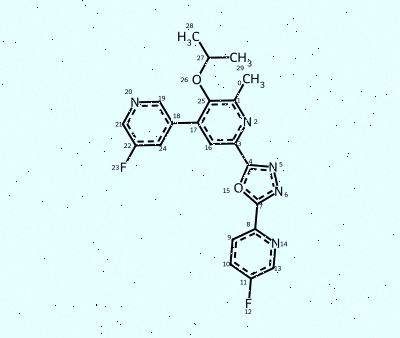 Cc1nc(-c2nnc(-c3ccc(F)cn3)o2)cc(-c2cncc(F)c2)c1OC(C)C